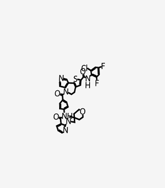 O=C(Nc1c(F)cc(F)cc1Cl)c1cc2c(s1)-c1cnccc1N(C(=O)c1ccc(NC(=O)c3cccnc3N3CC4(CCOCC4)C3)cc1)CC2